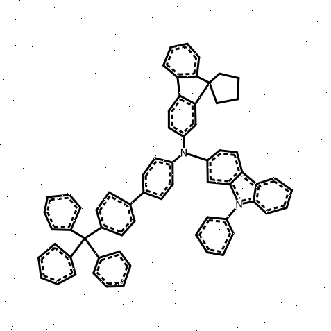 c1ccc(-n2c3ccccc3c3ccc(N(c4ccc(-c5ccc(C(c6ccccc6)(c6ccccc6)c6ccccc6)cc5)cc4)c4ccc5c(c4)C4(CCCC4)c4ccccc4-5)cc32)cc1